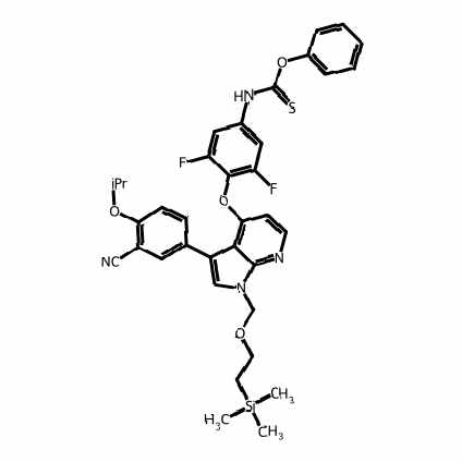 CC(C)Oc1ccc(-c2cn(COCC[Si](C)(C)C)c3nccc(Oc4c(F)cc(NC(=S)Oc5ccccc5)cc4F)c23)cc1C#N